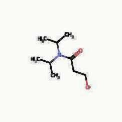 CC(C)N(C(=O)CC[O])C(C)C